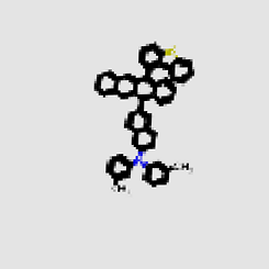 Cc1cccc(N(c2cccc(C)c2)c2ccc3cc(-c4c5ccccc5c(-c5cccc6sc7ccccc7c56)c5cc6ccccc6cc45)ccc3c2)c1